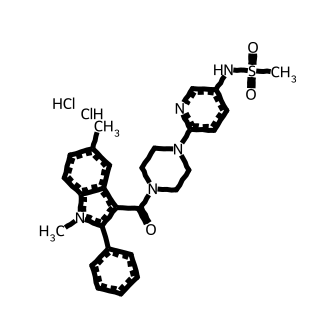 Cc1ccc2c(c1)c(C(=O)N1CCN(c3ccc(NS(C)(=O)=O)cn3)CC1)c(-c1ccccc1)n2C.Cl.Cl